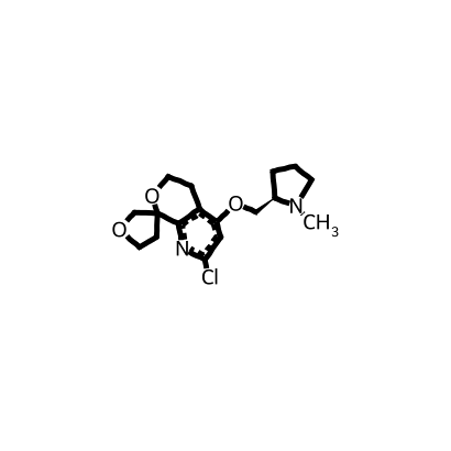 CN1CCC[C@@H]1COc1cc(Cl)nc2c1CCOC21CCOC1